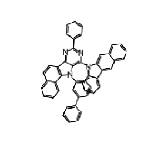 c1ccc(-c2cccc(-n3c4c(-n5c6ccccc6c6cc7ccccc7cc65)nc(-c5ccccc5)nc4c4ccc5ccccc5c43)c2)cc1